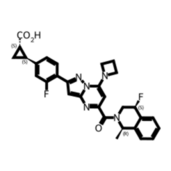 C[C@@H]1c2ccccc2[C@H](F)CN1C(=O)c1cc(N2CCC2)n2nc(-c3ccc([C@H]4C[C@@H]4C(=O)O)cc3F)cc2n1